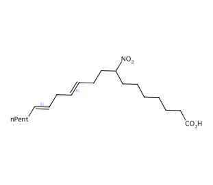 CCCCC/C=C/C/C=C/CCC(CCCCCCC(=O)O)[N+](=O)[O-]